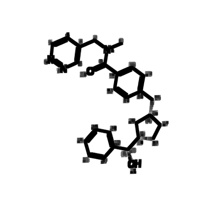 CN(Cc1ccnnc1)C(=O)c1ccc(C[C@@H]2CC[C@H]([C@H](O)c3ccccc3)C2)cc1